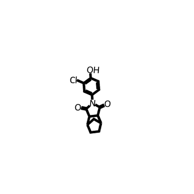 O=C1C2C3CCC(C3)C2C(=O)N1c1ccc(O)c(Cl)c1